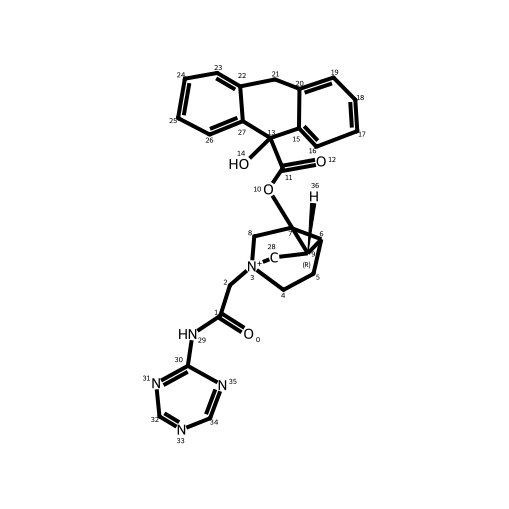 O=C(C[N+]12CCC(CC1)[C@@H](OC(=O)C1(O)c3ccccc3Cc3ccccc31)C2)Nc1ncncn1